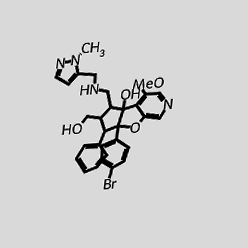 COc1cncc2c1C1(O)C(CNCc3ccnn3C)C(CO)C(c3ccccc3)C1(c1ccc(Br)cc1)O2